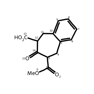 COC(=O)C1Cc2ccccc2CC(C(=O)O)C1=O